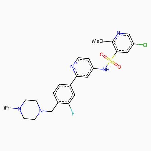 COc1ncc(Cl)cc1S(=O)(=O)Nc1ccnc(-c2ccc(CN3CCN(C(C)C)CC3)c(F)c2)c1